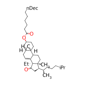 CCCCCCCCCCCCCCCC(=O)O[C@H]1CC[C@@]2(C)[C@@H](CC=C3[C@@H]2CC[C@]2(C)[C@@H]([C@H](C)CCCC(C)C)CC(=O)[C@@]32CC)C1